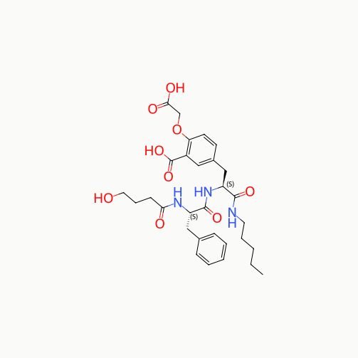 CCCCCNC(=O)[C@H](Cc1ccc(OCC(=O)O)c(C(=O)O)c1)NC(=O)[C@H](Cc1ccccc1)NC(=O)CCCO